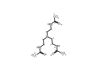 O=C(NCCN(CCNC(=O)C(Cl)(Cl)Cl)CCNC(=O)C(Cl)(Cl)Cl)C(Cl)(Cl)Cl